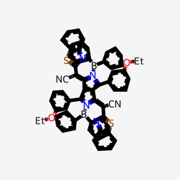 CCOc1cccc(-c2c3/c(=C(\C#N)c4nc5ccccc5s4)n(B(c4ccccc4)c4ccccc4)c(-c4cccc(OCC)c4)c3/c(=C(\C#N)c3nc4ccccc4s3)n2B(c2ccccc2)c2ccccc2)c1